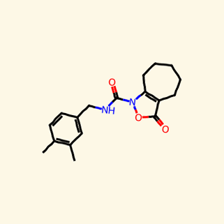 Cc1ccc(CNC(=O)n2oc(=O)c3c2CCCCC3)cc1C